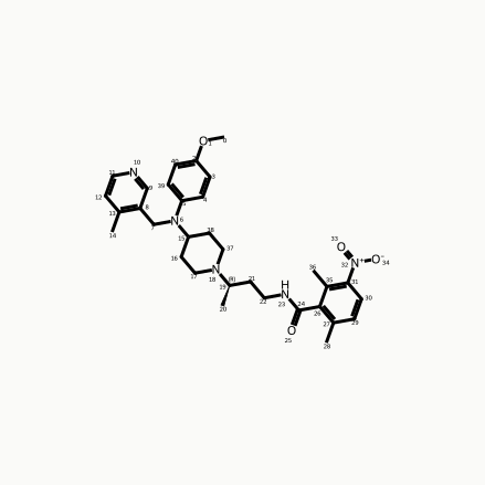 COc1ccc(N(Cc2cnccc2C)C2CCN([C@H](C)CCNC(=O)c3c(C)ccc([N+](=O)[O-])c3C)CC2)cc1